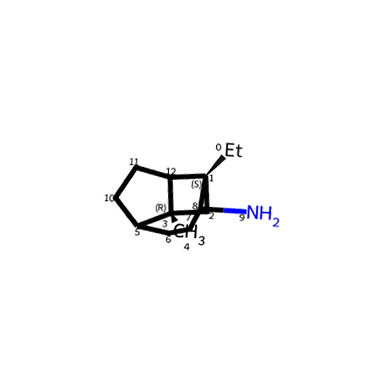 CC[C@@]12C[C@]3(C)C(CCC1N)CCC32